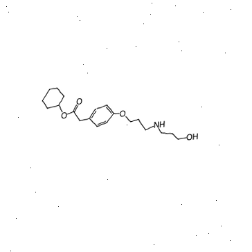 O=C(Cc1ccc(OCCCNCCCO)cc1)OC1CCCCC1